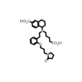 CCOC(=O)CCCCN(CCc1ccccc1OCCCN1CCCC1=O)C1CCCc2cc(C(=O)OCC)ccc21